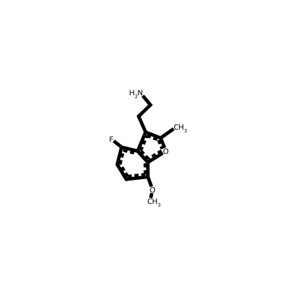 COc1ccc(F)c2c(CCN)c(C)oc12